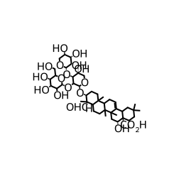 CC1(C)CC[C@@]2(C(=O)O)C(C1)C1=CCC3C4(C)CC[C@H](O[C@@H]5OC[C@@H](O)[C@H](O[C@@H]6OC[C@@H](O)[C@H](O)C6O)C5O[C@@H]5OC(CO)[C@H](O)[C@H](O)C5O)C(C)(C=O)[C@@H]4CCC3(C)C1(C)C[C@H]2O